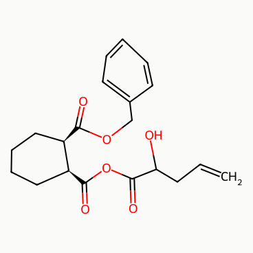 C=CCC(O)C(=O)OC(=O)[C@H]1CCCC[C@H]1C(=O)OCc1ccccc1